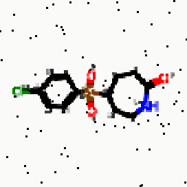 O=C1CCC(S(=O)(=O)c2ccc(Cl)cc2)CCN1